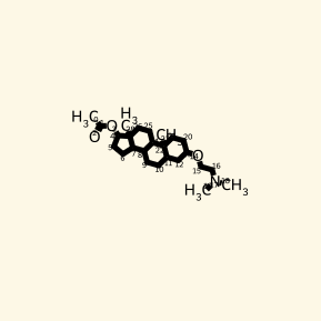 CC(=O)OC1CCC2C3CCC4CC(OCCN(C)C)CCC4(C)C3CCC12C